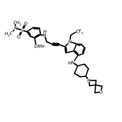 COc1cc(S(=O)(=O)N(C)C)ccc1NCC#Cc1cc2c(NC3CCC(N4CC5(COC5)C4)CC3)cccc2n1CC(F)(F)F